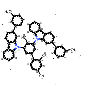 Cc1cccc(-c2ccc3c4ccccc4n(-c4cc(-c5ccc(C#N)cc5C(F)(F)F)cc(-n5c6ccccc6c6ccc(-c7cccc(C)c7)cc65)c4C#N)c3c2)c1